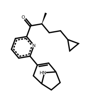 C[C@@H](CCC1CC1)C(=O)c1cccc(C2=CC3CCC(C2)N3)n1